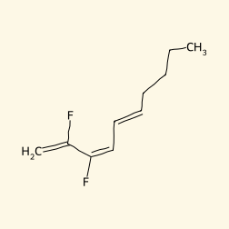 C=C(F)/C(F)=C\C=C\CCCC